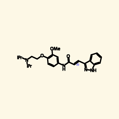 COc1cc(NC(=O)/C=C/c2n[nH]c3ccccc23)ccc1OCCN(C(C)C)C(C)C